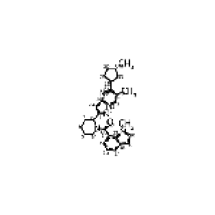 Cc1cn2nc([C@@H]3CCCCN3C(=O)c3cccc4ccn(C)c34)cc2nc1C1CC[C@H](C)C1